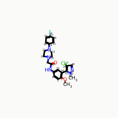 COc1ccc(NC(=O)CN2CCN(c3ccc(F)cc3)CC2)cc1-c1c(Cl)cnn1C